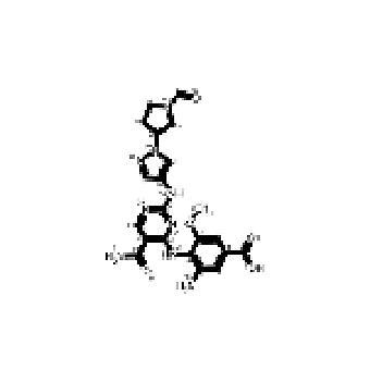 COc1cc(C(=O)O)cc(C)c1Nc1nc(Nc2cnn(C3CCN(C=O)C3)c2)ncc1C(N)=O